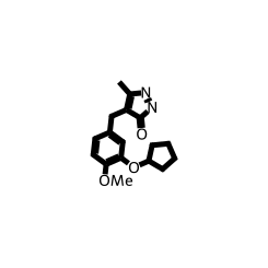 COc1ccc(CC2=C(C)N=NC2=O)cc1OC1CCCC1